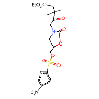 CCOC(=O)CC(C)(C)C(=O)CN1C[C@H](COS(=O)(=O)c2ccc([N+](=O)[O-])cc2)OC1=O